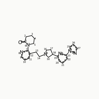 O=C1CCCCN1c1ncccc1CCN1CCC(c2cccc(-n3cccn3)n2)C1